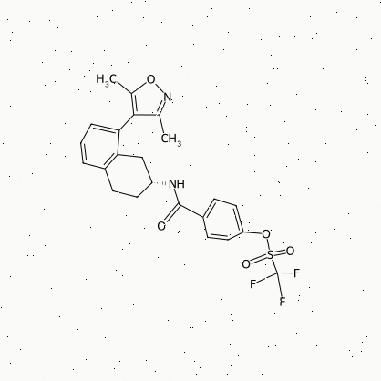 Cc1noc(C)c1-c1cccc2c1C[C@H](NC(=O)c1ccc(OS(=O)(=O)C(F)(F)F)cc1)CC2